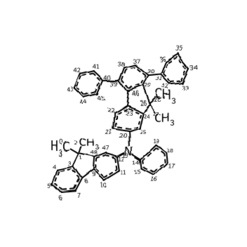 CC1(C)c2ccccc2-c2ccc(N(c3ccccc3)c3ccc4c(c3)C(C)(C)c3c(-c5ccccc5)ccc(-c5ccccc5)c3-4)cc21